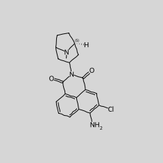 CN1C2CC[C@H]1CC(N1C(=O)c3cccc4c(N)c(Cl)cc(c34)C1=O)C2